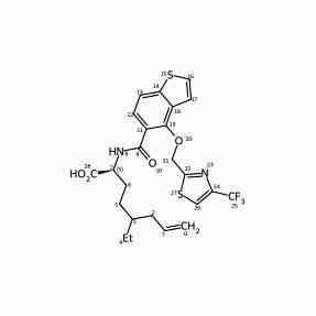 C=CCC(CC)CC[C@H](NC(=O)c1ccc2sccc2c1OCc1nc(C(F)(F)F)cs1)C(=O)O